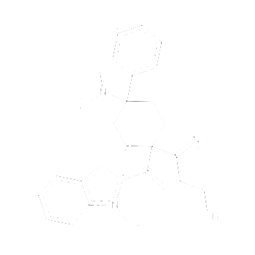 CCCC(=N)C1(C(=O)c2cc3ccccc3n2C)CCC(c2ccccc2)(N(C)C)CC1